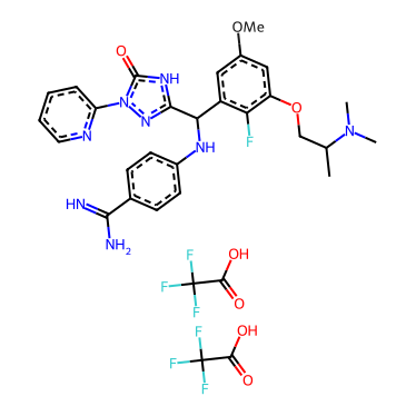 COc1cc(OCC(C)N(C)C)c(F)c(C(Nc2ccc(C(=N)N)cc2)c2nn(-c3ccccn3)c(=O)[nH]2)c1.O=C(O)C(F)(F)F.O=C(O)C(F)(F)F